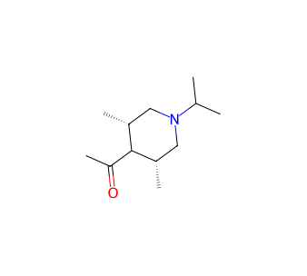 CC(=O)C1[C@H](C)CN(C(C)C)C[C@@H]1C